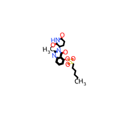 CCCCCCS(=O)(=O)Oc1cccc2nc(C)n(C3CCC(=O)NC3=O)c(=O)c12